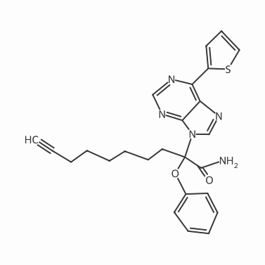 C#CCCCCCCC(Oc1ccccc1)(C(N)=O)n1cnc2c(-c3cccs3)ncnc21